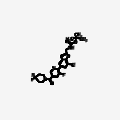 CC(C)(C)OC(=O)NCc1cc2cc(-c3ncc(C(=O)N4CCC(F)(F)CC4)cc3F)cc(Cl)c2o1